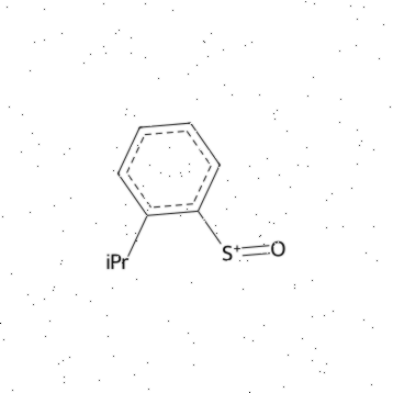 CC(C)c1ccccc1[S+]=O